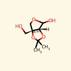 CC1(C)O[C@H]2C(O)OC[C@@]2(CO)O1